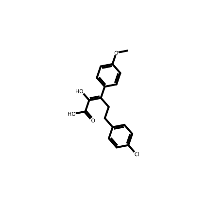 COc1ccc(/C(CCc2ccc(Cl)cc2)=C(\O)C(=O)O)cc1